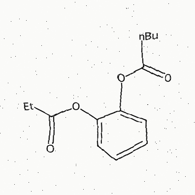 CCCCC(=O)Oc1ccccc1OC(=O)CC